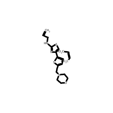 C=CCNc1nc(-c2ccc(CN3CCOCC3)s2)cs1.O=C(O)/C=C\C(=O)O